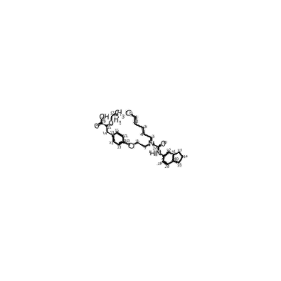 CCCCCCN(CCOc1ccc(CC(OCC)C(=O)O)cc1)C(=O)Nc1ccc2c(c1)CCC2